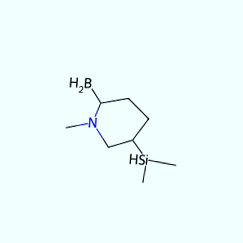 BC1CCC([SiH](C)C)CN1C